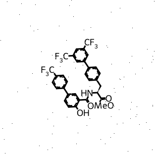 COC(=O)[C@H](Cc1ccc(-c2cc(C(F)(F)F)cc(C(F)(F)F)c2)cc1)NC(=O)c1cc(-c2ccc(C(F)(F)F)cc2)ccc1O